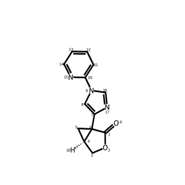 O=C1OC[C@H]2CC12c1cn(-c2ccccn2)cn1